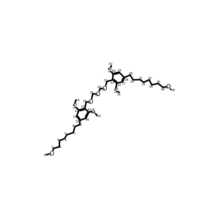 COCCCCCCCCc1cc(SC)c(COCOCOCc2c(SC)cc(CCCCCCCCOC)cc2SC)c(SC)c1